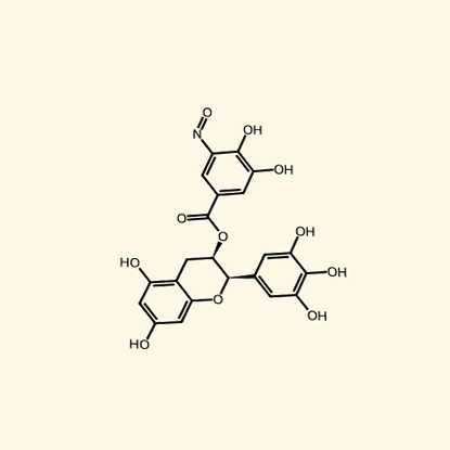 O=Nc1cc(C(=O)O[C@@H]2Cc3c(O)cc(O)cc3O[C@@H]2c2cc(O)c(O)c(O)c2)cc(O)c1O